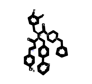 O=C([C@H](Cc1ccc(F)c(F)c1)N(Cc1ccc(-c2ccccn2)cc1)C(=O)/C=C/c1ccc(C(F)(F)F)cc1)N1CCN(Cc2ccccc2)CC1